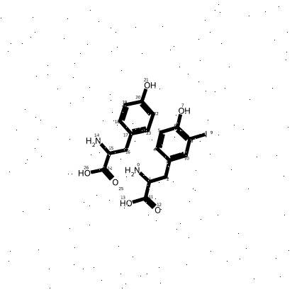 NC(Cc1ccc(O)c(I)c1)C(=O)O.NC(Cc1ccc(O)cc1)C(=O)O